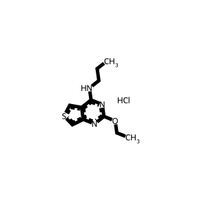 CCCNc1nc(OCC)nc2cscc12.Cl